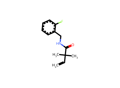 C=CC(C)(C)C(=O)NCc1ccccc1F